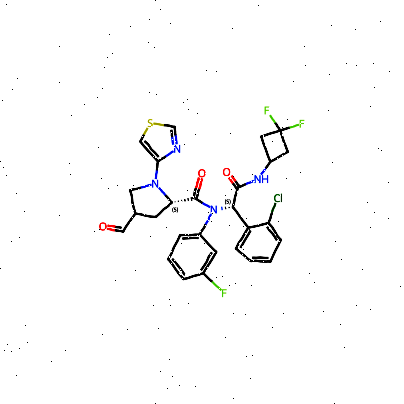 O=CC1C[C@@H](C(=O)N(c2cccc(F)c2)[C@H](C(=O)NC2CC(F)(F)C2)c2ccccc2Cl)N(c2cscn2)C1